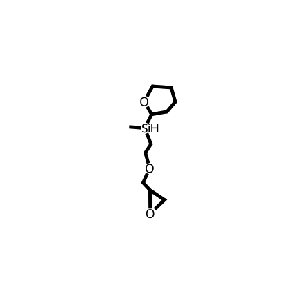 C[SiH](CCOCC1CO1)C1CCCCO1